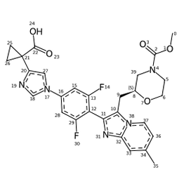 COC(=O)N1CCO[C@@H](Cc2c(-c3c(F)cc(-n4cnc(C5(C(=O)O)CC5)c4)cc3F)nc3cc(C)ccn23)C1